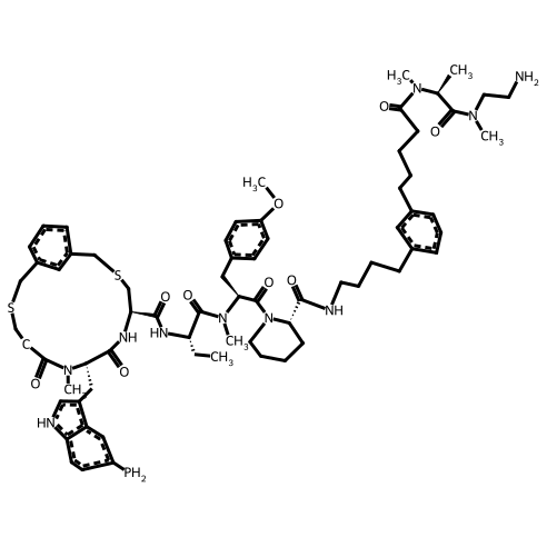 CC[C@H](NC(=O)[C@@H]1CSCc2cccc(c2)CSCCC(=O)N(C)[C@@H](Cc2c[nH]c3ccc(P)cc23)C(=O)N1)C(=O)N(C)[C@@H](Cc1ccc(OC)cc1)C(=O)N1CCCC[C@H]1C(=O)NCCCCc1cccc(CCCCC(=O)N(C)[C@@H](C)C(=O)N(C)CCN)c1